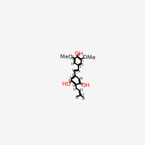 COc1cc(/C=C/c2cc(O)c(CC=C(C)C)c(O)c2)cc(OC)c1O